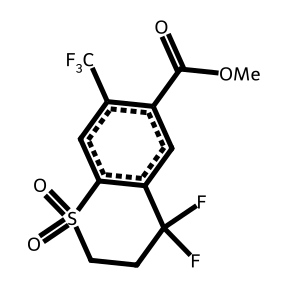 COC(=O)c1cc2c(cc1C(F)(F)F)S(=O)(=O)CCC2(F)F